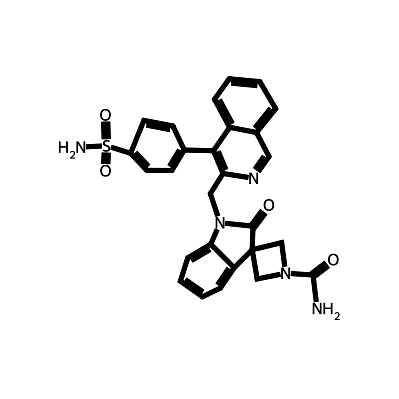 NC(=O)N1CC2(C1)C(=O)N(Cc1ncc3ccccc3c1-c1ccc(S(N)(=O)=O)cc1)c1ccccc12